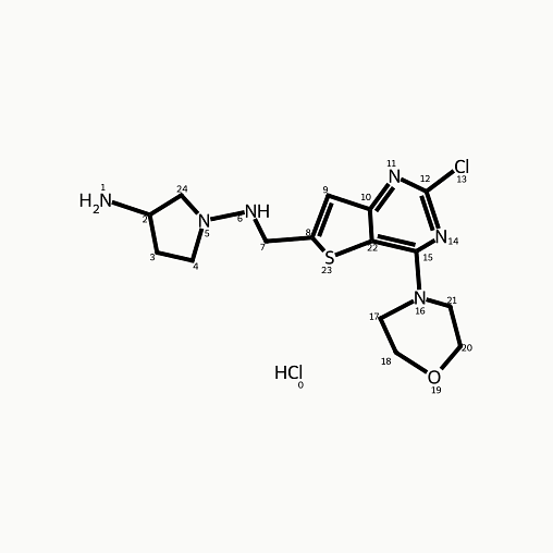 Cl.NC1CCN(NCc2cc3nc(Cl)nc(N4CCOCC4)c3s2)C1